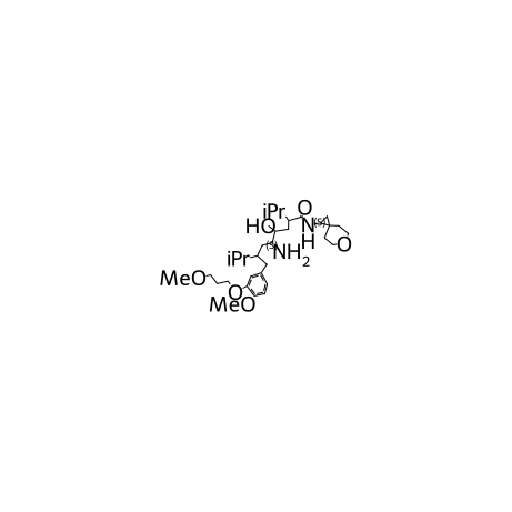 COCCCOc1cc(CC(C[C@H](N)C(O)CC(C(=O)N[C@H]2CC23CCOCC3)C(C)C)C(C)C)ccc1OC